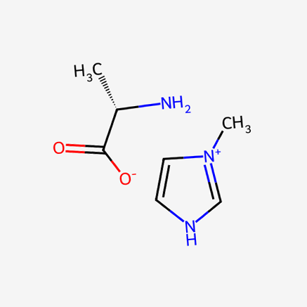 C[C@H](N)C(=O)[O-].C[n+]1cc[nH]c1